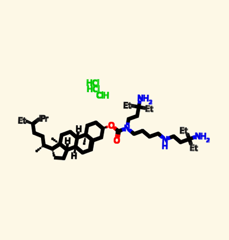 CC[C@H](CC[C@@H](C)[C@H]1CC[C@H]2[C@@H]3CC=C4C[C@@H](OC(=O)N(CCCCNCCC(N)(CC)CC)CCC(N)(CC)CC)CC[C@]4(C)[C@H]3CC[C@]12C)C(C)C.Cl.Cl.Cl